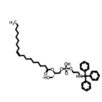 CCCCCCCC/C=C\CCCCCCCC(=O)O[C@@H](CO)COP(=O)(O)OCCNC(c1ccccc1)(c1ccccc1)c1ccccc1